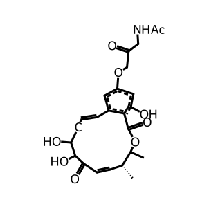 CC(=O)NCC(=O)COc1cc(O)c2c(c1)/C=C/CC(O)C(O)C(=O)/C=C\[C@@H](C)C(C)OC2=O